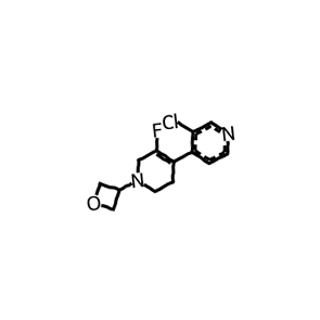 FC1=C(c2ccncc2Cl)CCN(C2COC2)C1